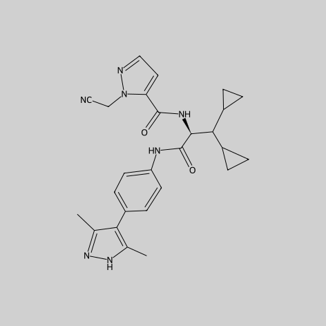 Cc1n[nH]c(C)c1-c1ccc(NC(=O)[C@@H](NC(=O)c2ccnn2CC#N)C(C2CC2)C2CC2)cc1